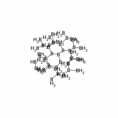 BBB(B)B(B(B)B)B(B(B(B)B)B(B)B)B(B(B(B(B)B)B(B)B)B(B(B)B)B(B)B)B(B(B(B)B)B(B)B)B(B(B)B)B(B)B